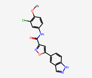 CC(C)Oc1ccc(NC(=O)c2cc(-c3ccc4[nH]ncc4c3)on2)cc1Cl